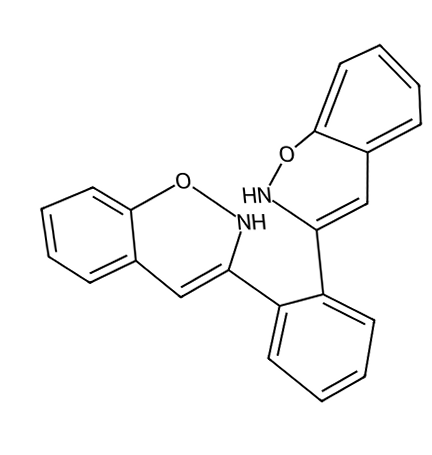 C1=C(c2ccccc2C2=Cc3ccccc3ON2)NOc2ccccc21